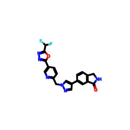 O=C1NCc2ccc(-c3cnn(Cc4ccc(-c5nnc(C(F)F)o5)cn4)c3)cc21